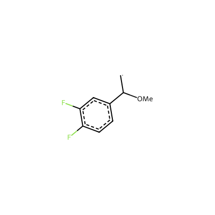 [CH2]C(OC)c1ccc(F)c(F)c1